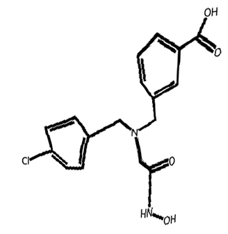 O=C(CN(Cc1ccc(Cl)cc1)Cc1cccc(C(=O)O)c1)NO